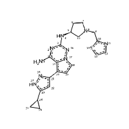 Nc1nc(N[C@H]2CCN(Cc3nccs3)C2)nn2ccc(-c3cc(C4CC4)[nH]n3)c12